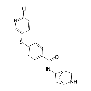 O=C(NC1CC2CC1CN2)c1ccc(Sc2ccc(Cl)nc2)cc1